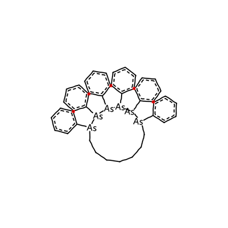 c1ccc([As]2CCCCCCC[As](c3ccccc3)[As](c3ccccc3)[As](c3ccccc3)[As](c3ccccc3)[As]2c2ccccc2)cc1